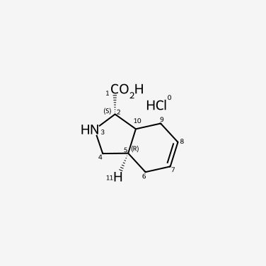 Cl.O=C(O)[C@H]1NC[C@@H]2CC=CCC21